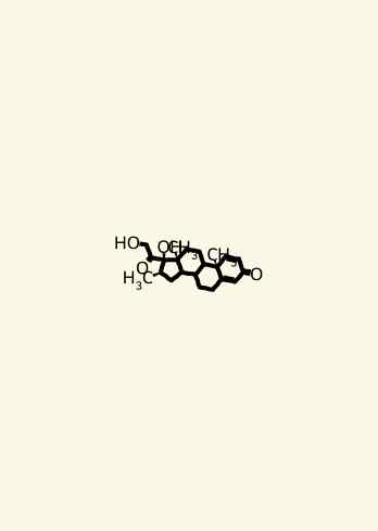 C[C@@H]1CC2C3CCC4=CC(=O)C=C[C@]4(C)C3CC[C@]2(C)[C@@]1(O)C(=O)CO